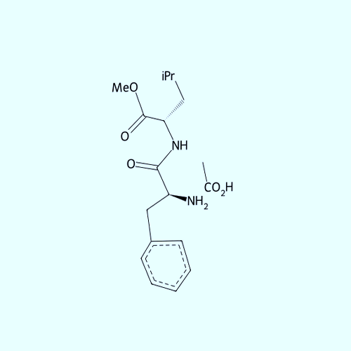 CC(=O)O.COC(=O)[C@H](CC(C)C)NC(=O)[C@@H](N)Cc1ccccc1